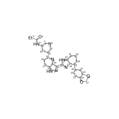 CCC(=O)Nc1cncc(-c2ccc3[nH]nc(-c4nc5c(-c6ccc7c(c6)OCO7)cccc5[nH]4)c3n2)c1